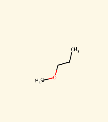 CCCO[SiH3]